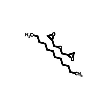 C(OCC1CO1)C1CO1.CCCCCCCCCCCC